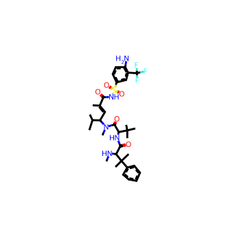 CNC(C(=O)NC(C(=O)N(C)C(C=C(C)C(=O)NS(=O)(=O)c1ccc(N)c(C(F)(F)F)c1)C(C)C)C(C)(C)C)C(C)(C)c1ccccc1